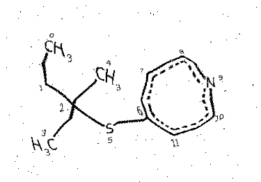 CCC(C)(C)Sc1ccncc1